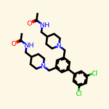 CC(=O)NCC1CCN(Cc2cc(CN3CCC(CNC(C)=O)CC3)cc(-c3cc(Cl)cc(Cl)c3)c2)CC1